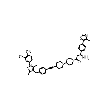 Cc1ncsc1-c1ccc([C@@H](N)CC(=O)N2CCC(N3CCC(C#Cc4ccc(Cc5c(C)nn(-c6ccc(C#N)c(Cl)c6)c5C)cc4)CC3)CC2)cc1